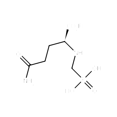 CCOC(=O)[C@H](CCC(N)=O)NCP(=O)(O)O